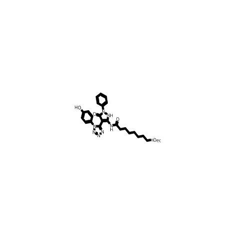 CCCCCCCCCCCCCCCCCC(=O)Nc1[nH]n(-c2ccccc2)c(=O)c1-c1nnnn1-c1ccc(O)cc1